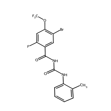 Cc1ccccc1NC(=O)NC(=O)c1cc(Br)c(OC(F)(F)F)cc1F